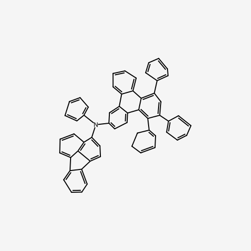 C1=CCCC(c2c(-c3ccccc3)cc(-c3ccccc3)c3c4ccccc4c4cc(N(c5ccccc5)c5ccc6c7c(cccc57)-c5ccccc5-6)ccc4c23)=C1